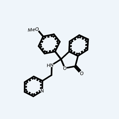 COc1ccc(C2(NCc3ccccn3)OC(=O)c3ccccc32)cc1